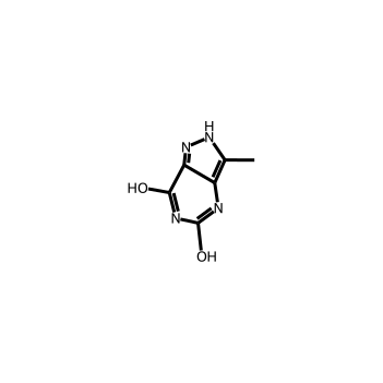 Cc1[nH]nc2c(O)nc(O)nc12